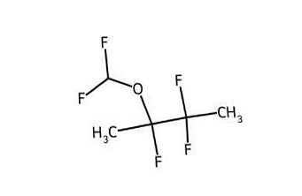 CC(F)(F)C(C)(F)OC(F)F